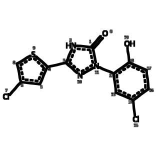 O=c1[nH]c(-c2cc(Cl)cs2)nn1-c1cc(Cl)ccc1O